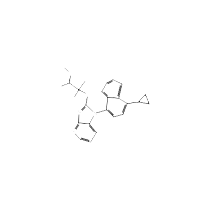 CCOC(O)C(C)(C)Sc1nc2ncccc2n1-c1ccc(C2CC2)c2ccccc12